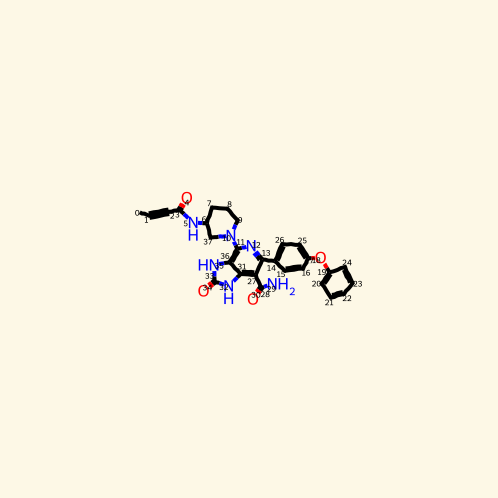 CC#CC(=O)NC1CCCN(c2nc(-c3ccc(Oc4ccccc4)cc3)c(C(N)=O)c3[nH]c(=O)[nH]c23)C1